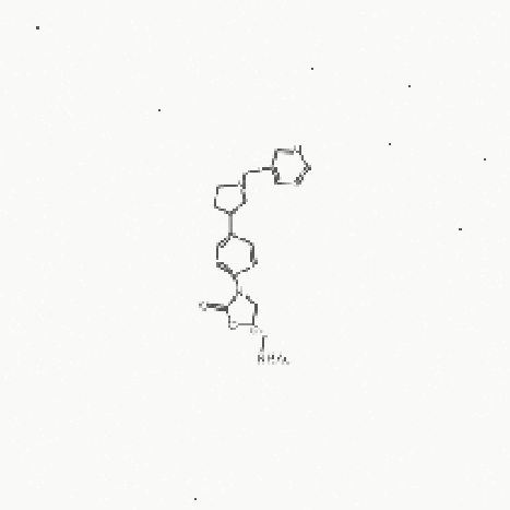 CC(=O)NC[C@H]1CN(c2ccc(C3CCN(Cc4cccnc4)C3)cc2)C(=O)O1